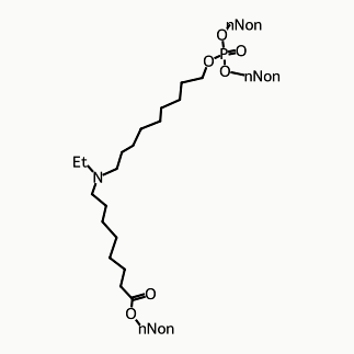 CCCCCCCCCOC(=O)CCCCCCCN(CC)CCCCCCCCCOP(=O)(OCCCCCCCCC)OCCCCCCCCC